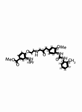 COC(=O)c1ccc(OCCNCC(=O)Cc2ccc(NC(=O)Nc3ccccc3C)c(OC)c2)c(NC(C)C)c1